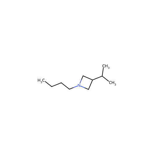 CCCCN1CC(C(C)C)C1